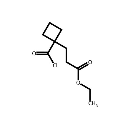 CCOC(=O)CCC1(C(=O)Cl)CCC1